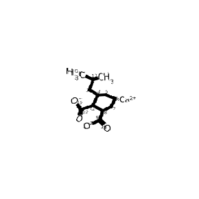 CC(C)CC1CCCC(C(=O)[O-])C1C(=O)[O-].[Ca+2]